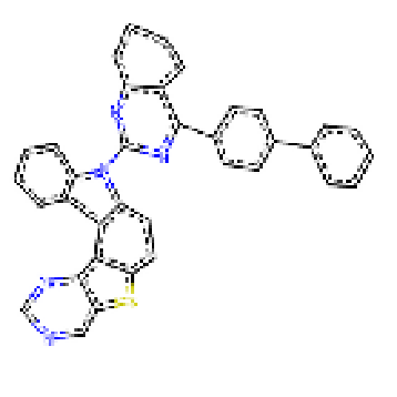 c1ccc(-c2ccc(-c3nc(-n4c5ccccc5c5c6c(ccc54)sc4cncnc46)nc4ccccc34)cc2)cc1